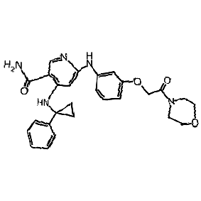 NC(=O)c1cnc(Nc2cccc(OCC(=O)N3CCOCC3)c2)cc1NC1(c2ccccc2)CC1